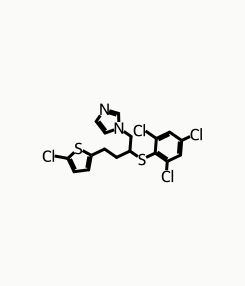 Clc1cc(Cl)c(SC(CCc2ccc(Cl)s2)Cn2ccnc2)c(Cl)c1